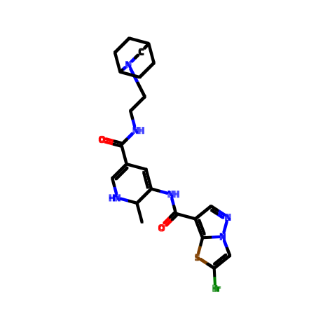 CC1NC=C(C(=O)NCCN2CC3CCC2CC3)C=C1NC(=O)c1cnn2cc(Br)sc12